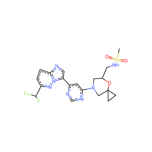 CS(=O)(=O)NCC1CN(c2cc(-c3cnc4ccc(C(F)F)nn34)ncn2)CC2(CC2)O1